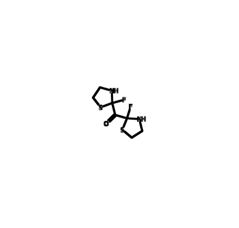 O=C(C1(F)NCCS1)C1(F)NCCS1